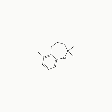 Cc1cccc2c1CCCC(C)(C)N2